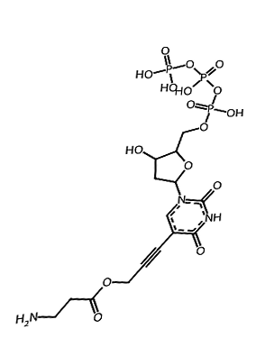 NCCC(=O)OCC#Cc1cn(C2CC(O)C(COP(=O)(O)OP(=O)(O)OP(=O)(O)O)O2)c(=O)[nH]c1=O